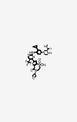 CNC(=O)C1CN(c2ccc(Nc3ncc(C(F)(F)F)c(-c4cc5c(s4)C(=O)N(C4COC4)CCS5(O)O)n3)c(C3CC3)c2)CCN1